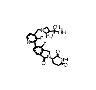 CC(C)(O)C1CN(Cc2ccnc(-c3ccc4c(c3F)CN(C3CCC(=O)NC3=O)C4=O)c2F)C1